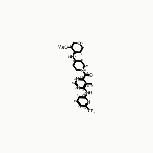 COC1COCCC1NC1CCN(C(=O)c2ncnc(Nc3cccc(C(F)(F)F)n3)c2C)CC1